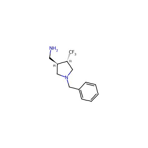 NC[C@@H]1CN(Cc2ccccc2)C[C@H]1C(F)(F)F